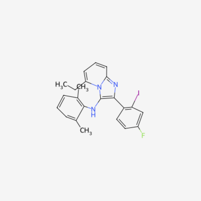 CCc1cccc2nc(-c3ccc(F)cc3I)c(Nc3c(C)cccc3C)n12